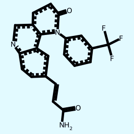 NC(=O)/C=C/c1ccc2ncc3ccc(=O)n(-c4cccc(C(F)(F)F)c4)c3c2c1